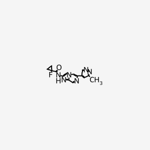 Cc1cc(-c2cn3cc(NC(=O)C4(F)CC4)nc3cn2)cnn1